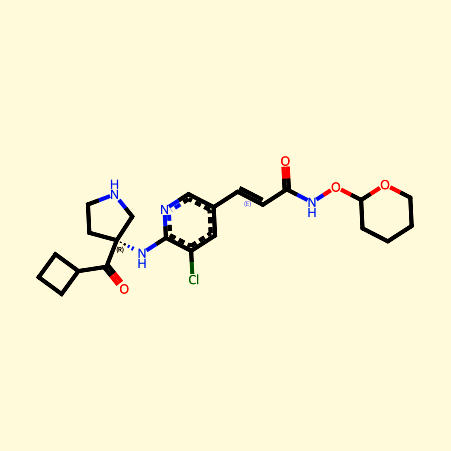 O=C(/C=C/c1cnc(N[C@]2(C(=O)C3CCC3)CCNC2)c(Cl)c1)NOC1CCCCO1